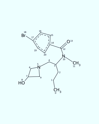 CCCC(CN1CC(O)C1)N(C)C(=O)c1ccc(Br)cc1